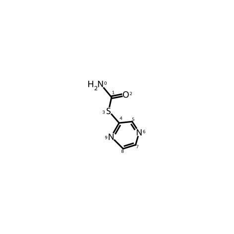 NC(=O)Sc1cnccn1